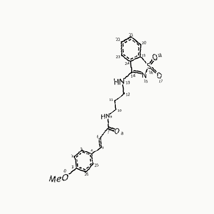 COc1ccc(/C=C/C(=O)NCCCNC2=NS(=O)(=O)c3ccccc32)cc1